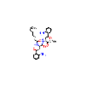 CCCCCCCCCCCCCCCC(=O)NC(CC(=O)c1ccccc1N)C(=O)NC(CC(=O)c1ccccc1N)C(=O)OC